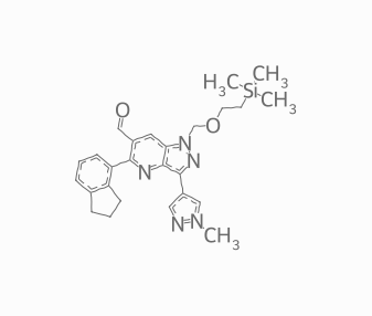 Cn1cc(-c2nn(COCC[Si](C)(C)C)c3cc(C=O)c(-c4cccc5c4CCC5)nc23)cn1